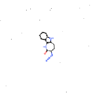 [N-]=[N+]=NC1CCc2[nH]c3ccccc3c2NC1=O